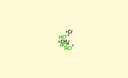 C.Cl.Cl.Cl.[Cr]